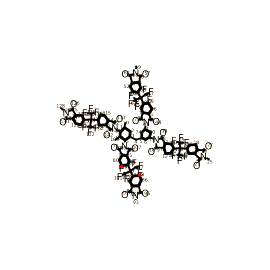 Cc1cc(Cc2cc(N3C(=O)c4ccc(C(c5ccc6c(c5)C(=O)N(C)C6=O)(C(F)(F)F)C(F)(F)F)cc4C3=O)cc(N3C(=O)c4ccc(C(c5ccc6c(c5)C(=O)N(C)C6=O)(C(F)(F)F)C(F)(F)F)cc4C3=O)c2)c(N2C(=O)c3ccc(C(c4ccc5c(c4)C(=O)N(C)C5=O)(C(F)(F)F)C(F)(F)F)cc3C2=O)c(C)c1N1C(=O)c2ccc(C(c3ccc4c(c3)C(=O)N(C)C4=O)(C(F)(F)F)C(F)(F)F)cc2C1=O